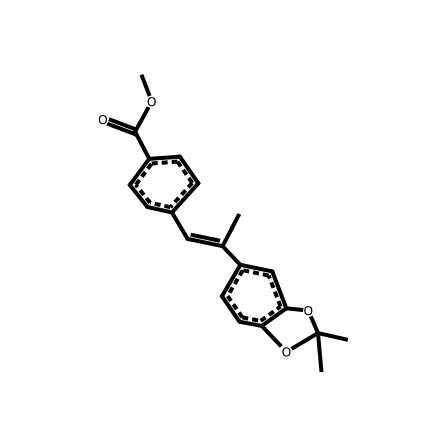 COC(=O)c1ccc(C=C(C)c2ccc3c(c2)OC(C)(C)O3)cc1